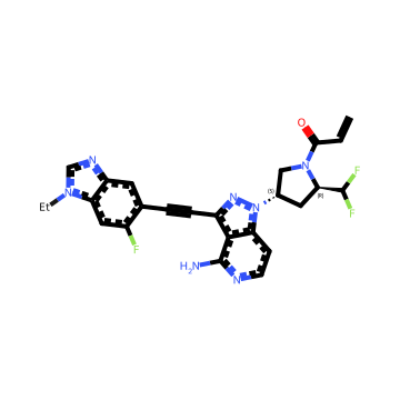 C=CC(=O)N1C[C@@H](n2nc(C#Cc3cc4ncn(CC)c4cc3F)c3c(N)nccc32)C[C@@H]1C(F)F